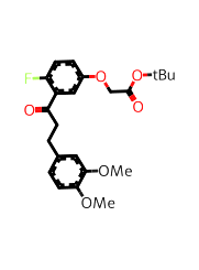 COc1ccc(CCC(=O)c2cc(OCC(=O)OC(C)(C)C)ccc2F)cc1OC